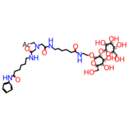 CC(=O)CN(CC(=O)NCCCCCC(=O)NCCO[C@H]1O[C@H](CO)[C@@H](O)[C@H](O)[C@@H]1O[C@H]1O[C@H](CO)[C@@H](O)[C@H](O)[C@@H]1O)CC(=O)NCCCCCC(=O)Nc1ccccc1